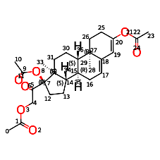 CC(=O)OCC(=O)[C@@]1(OC(C)=O)CC[C@H]2[C@@H]3CC=C4C=C(OC(C)=O)CC[C@]4(C)[C@H]3CC[C@@]21C